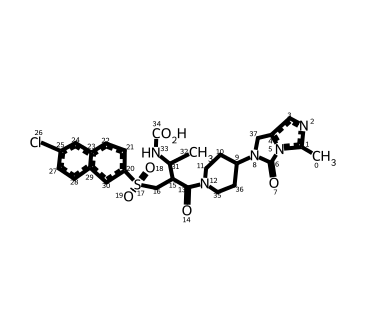 Cc1ncc2n1C(=O)N(C1CCN(C(=O)C(CS(=O)(=O)c3ccc4cc(Cl)ccc4c3)C(C)NC(=O)O)CC1)C2